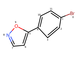 Brc1ccc(-c2ccno2)cc1